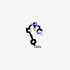 COc1ccc(C#Cc2ccc(Cn3cnn(C/C(=C/F)CN)c3=O)s2)cc1